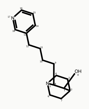 OC1C2CCN(CC2)C1CCCCc1cccnc1